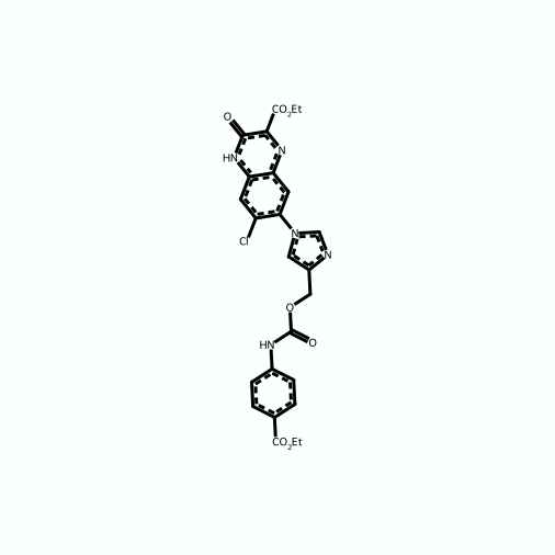 CCOC(=O)c1ccc(NC(=O)OCc2cn(-c3cc4nc(C(=O)OCC)c(=O)[nH]c4cc3Cl)cn2)cc1